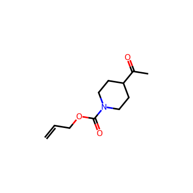 C=CCOC(=O)N1CCC(C(C)=O)CC1